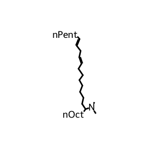 CCCCCC=CCC=CCCCCCCCC(CCCCCCCC)N(C)C